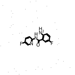 Nc1ccc(F)cc1C(=O)Nc1ccc(F)cn1